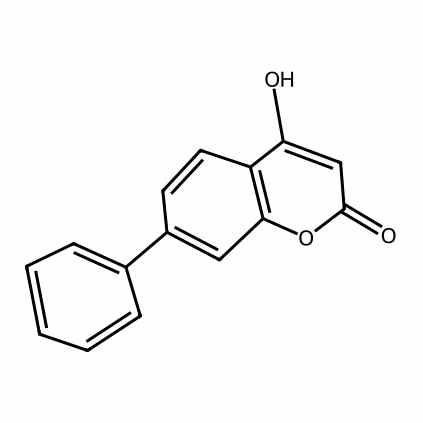 O=c1cc(O)c2ccc(-c3ccccc3)cc2o1